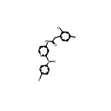 CC(=O)N(c1ccc(F)cc1)c1cc(NC(=O)Cc2ccc(F)cc2Cl)ccn1